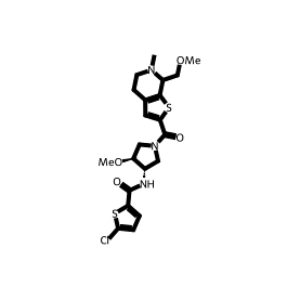 COCC1c2sc(C(=O)N3C[C@H](NC(=O)c4ccc(Cl)s4)[C@@H](OC)C3)cc2CCN1C